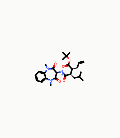 C=CC[C@H](C(=O)OC(C)(C)C)[C@@H](CC(C)C)C(=O)NC1C(=O)N(C)c2ccccc2N(C)C1=O